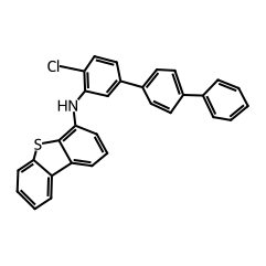 Clc1ccc(-c2ccc(-c3ccccc3)cc2)cc1Nc1cccc2c1sc1ccccc12